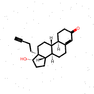 C#CCC[C@]12CC[C@H]3[C@@H](CCC4=CC(=O)CC[C@@H]43)[C@@H]1CC[C@@H]2O